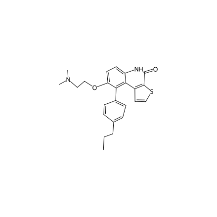 CCCc1ccc(-c2c(OCCN(C)C)ccc3[nH]c(=O)c4sccc4c23)cc1